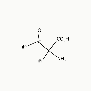 CC(C)[S+]([O-])C(N)(C(=O)O)C(C)C